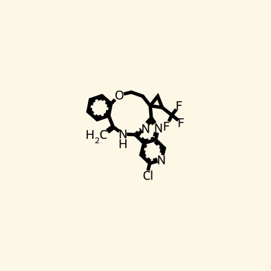 C=C1Nc2nc(nc3cnc(Cl)cc23)C2(CCOc3ccccc31)CC2C(F)(F)F